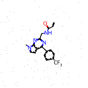 C=CC(=O)NCc1nc(-c2ccc(C(F)(F)F)cc2)c2ccn(C)c2n1